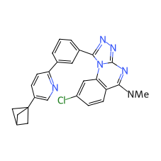 CNc1nc2nnc(-c3cccc(-c4ccc(C56CC(C5)C6)cn4)c3)n2c2cc(Cl)ccc12